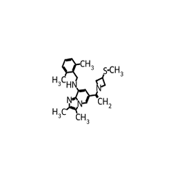 C=C(c1cc(NCc2c(C)cccc2C)c2nc(C)c(C)n2c1)N1CC(SC)C1